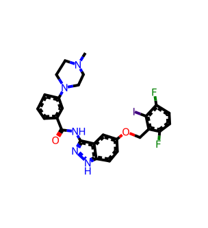 CN1CCN(c2cccc(C(=O)Nc3n[nH]c4ccc(OCc5c(F)ccc(F)c5I)cc34)c2)CC1